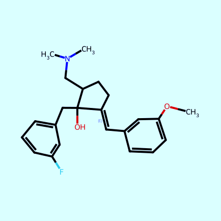 COc1cccc(/C=C2\CCC(CN(C)C)C2(O)Cc2cccc(F)c2)c1